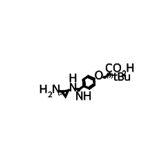 CC(C)(C)[C@@H](COc1ccc(C(=N)NC2C[C@@H]2N)cc1)C(=O)O